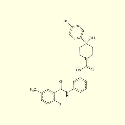 O=C(Nc1cccc(NC(=O)N2CCC(O)(c3ccc(Br)cc3)CC2)c1)c1cc(C(F)(F)F)ccc1F